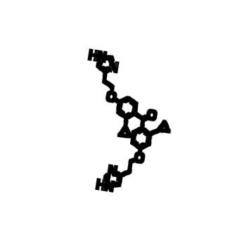 O=C(c1ccc(OCCc2c[nH]cn2)cc1C1CC1)c1ccc(OCCc2c[nH]cn2)cc1C1CC1